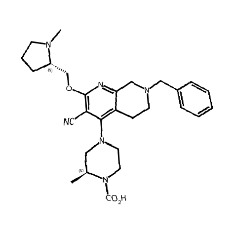 C[C@H]1CN(c2c(C#N)c(OC[C@@H]3CCCN3C)nc3c2CCN(Cc2ccccc2)C3)CCN1C(=O)O